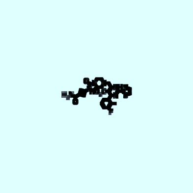 Cc1c(F)cccc1C1N=C(c2nccs2)NC(CN2CCN3C(=O)N(C45CC(C(N)=O)(C4)C5)CC3C2)=C1C(=O)O